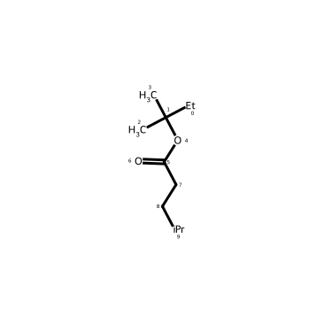 CCC(C)(C)OC(=O)CCC(C)C